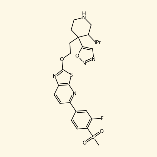 CC(C)C1CNCCC1(CCOc1nc2ccc(-c3ccc(S(C)(=O)=O)c(F)c3)nc2s1)c1cnno1